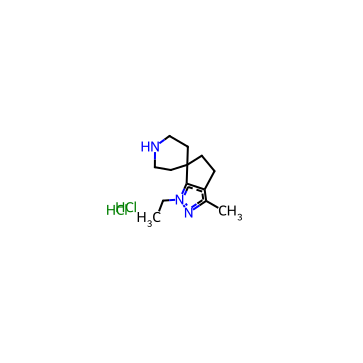 CCn1nc(C)c2c1C1(CCNCC1)CC2.Cl.Cl